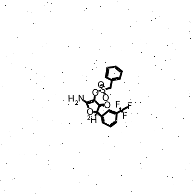 [2H][C@@]1(c2cccc(C(F)(F)F)c2)OC(N)=C(OS(=O)(=O)Cc2ccccc2)C1=O